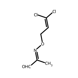 CC(C=O)=NOCC=C(Cl)Cl